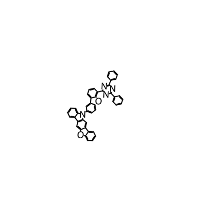 c1ccc(-c2nc(-c3ccccc3)nc(-c3cccc4c3oc3ccc(-n5c6ccccc6c6cc7oc8ccccc8c7cc65)cc34)n2)cc1